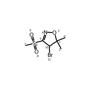 CC1(C)ON=C(S(C)(=O)=O)C1Br